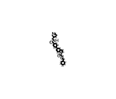 O=C(NCc1cccnc1)c1ccc(-c2ccc3c(ccn3C(=O)COCc3ccccc3)c2)cc1